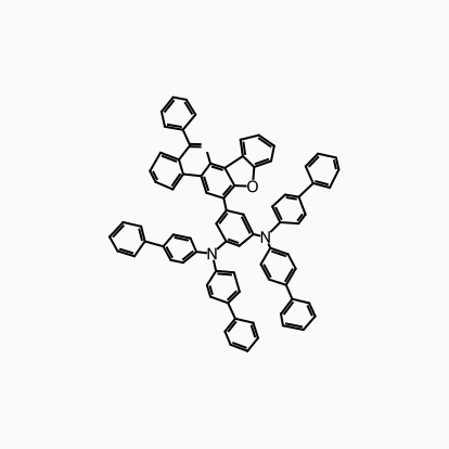 C=C(c1ccccc1)c1ccccc1-c1cc(-c2cc(N(c3ccc(-c4ccccc4)cc3)c3ccc(-c4ccccc4)cc3)cc(N(c3ccc(-c4ccccc4)cc3)c3ccc(-c4ccccc4)cc3)c2)c2oc3ccccc3c2c1C